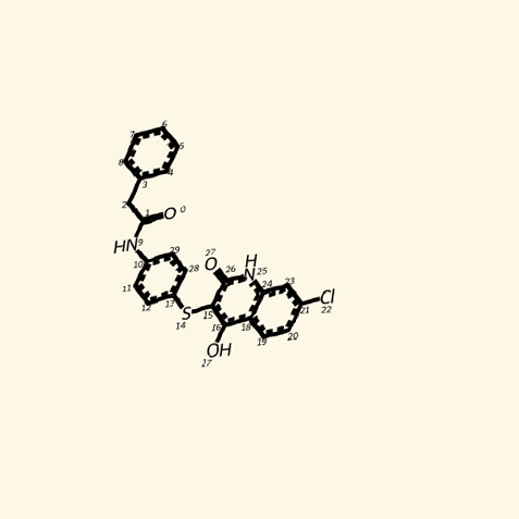 O=C(Cc1ccccc1)Nc1ccc(Sc2c(O)c3ccc(Cl)cc3[nH]c2=O)cc1